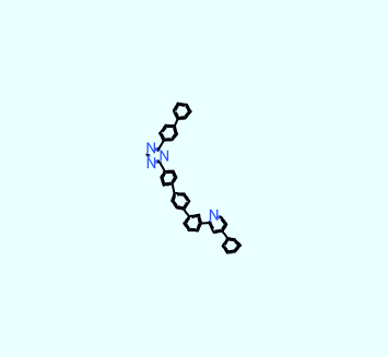 c1ccc(-c2ccc(-c3ncnc(-c4ccc(-c5ccc(-c6cccc(-c7cc(-c8ccccc8)ccn7)c6)cc5)cc4)n3)cc2)cc1